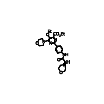 CCOC(=O)c1nc(-c2ccc(NC(=O)NN3CCOCC3)cc2)nc(N2CCOCC2)c1OCC